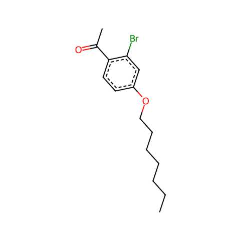 CCCCCCCOc1ccc(C(C)=O)c(Br)c1